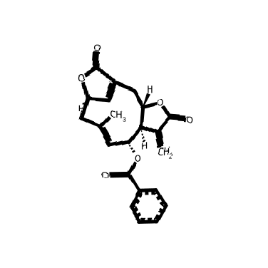 C=C1C(=O)O[C@H]2CC3=C[C@@H](C/C(C)=C/[C@@H](OC(=O)c4ccccc4)[C@H]12)OC3=O